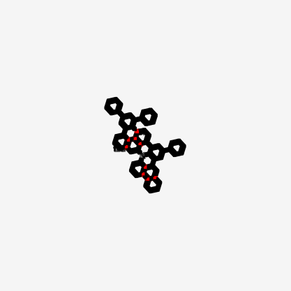 CC(C)(C)c1cc(Nc2c(-c3ccccc3)cc(-c3ccccc3)cc2-c2ccccc2)cc(N(c2cccc(-c3ccccc3)c2)c2c(-c3ccccc3)cc(-c3ccccc3)cc2-c2ccccc2)c1